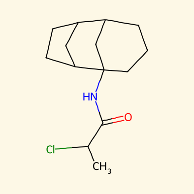 CC(Cl)C(=O)NC12CCCC(C1)C1CCC2C1